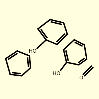 C=O.Oc1ccccc1.Oc1ccccc1.c1ccccc1